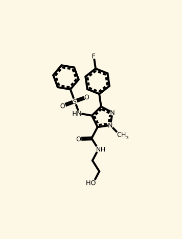 Cn1nc(-c2ccc(F)cc2)c(NS(=O)(=O)c2ccccc2)c1C(=O)NCCO